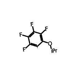 CC(C)Oc1[c]c(F)c(F)c(F)c1F